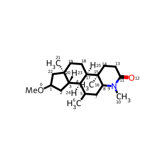 COC1C[C@H]2[C@@H]3C(C)CC4N(C)C(=O)CC[C@]4(C)[C@@H]3CC[C@]2(C)C1